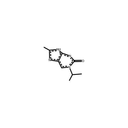 Cc1nc2cn(C(C)C)c(=O)nc2[nH]1